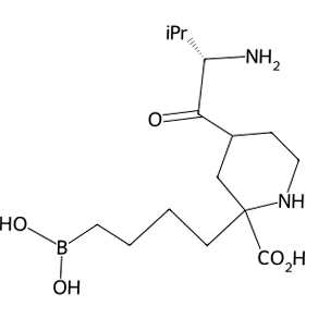 CC(C)[C@H](N)C(=O)C1CCNC(CCCCB(O)O)(C(=O)O)C1